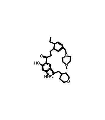 CCC1C=CC(CN2CCN(C)CC2)=CC1CCC(=O)c1cc2c(CC3CCOCC3)n[nH]c2cc1O